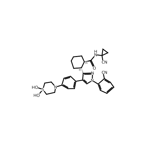 N#Cc1ccccc1-n1cc(-c2ccc(N3CCS(O)(O)CC3)cc2)c([C@@H]2CCCC[C@H]2C(=O)NC2(C#N)CC2)n1